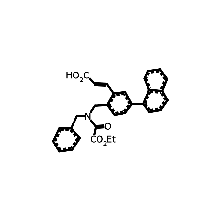 CCOC(=O)C(=O)N(Cc1ccccc1)Cc1ccc(-c2cccc3ccccc23)cc1/C=C/C(=O)O